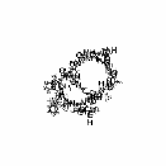 CCCCC1NC(=O)[C@@H]2CCCCNC(=O)c3cc(cc(c3)C(=O)NC(C)C(=O)NC(Cc3ccccc3)C(=O)NC(Cc3c[nH]c4ccccc34)C(=O)NC([C@H](C)O)C(=O)N[C@H](CCC(=O)O)C(=O)N2)C(=O)NC[C@@H](C(N)=O)NC(=O)C(Cc2c[nH]cn2)NC(=O)C(C)NC(=O)C(CC(C)C)NC1=O